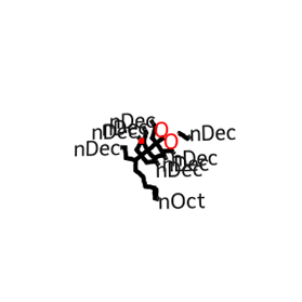 CCCCCCCCC=CCCCC(CCCCCCCCCCCC)C(CCCCCCCCCCCC)(CCCCCCCCCCCC)C(CCCCCCCCCCCC)(CCCCCCCCCCCC)C(CCCCCCCCCCCC)(CCCCCCCCCCCC)C(=O)OCCCCCCCCCCCC